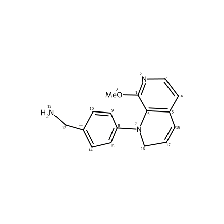 COc1nccc2c1N(c1ccc(CN)cc1)CC=C2